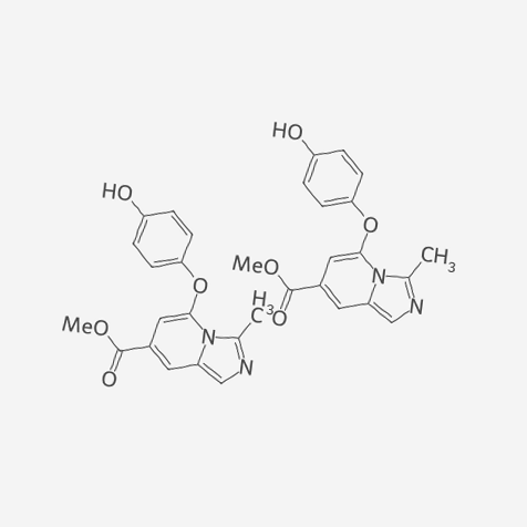 COC(=O)c1cc(Oc2ccc(O)cc2)n2c(C)ncc2c1.COC(=O)c1cc(Oc2ccc(O)cc2)n2c(C)ncc2c1